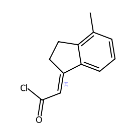 Cc1cccc2c1CC/C2=C\C(=O)Cl